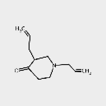 C=CCC1CN(CC=C)CCC1=O